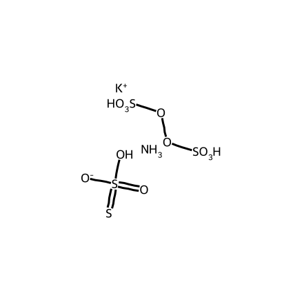 N.O=S(=O)(O)OOS(=O)(=O)O.O=S([O-])(O)=S.[K+]